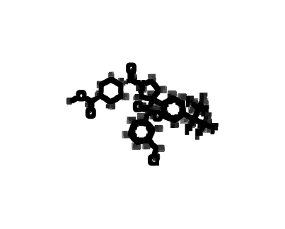 COC(=O)[C@H]1CC[C@H](C(=O)N2CCC(c3ccc(C(F)(C(F)(F)F)C(F)(F)F)cc3)(S(=O)(=O)c3cccc(CCl)c3)C2)CC1